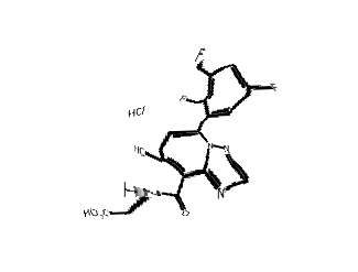 Cl.O=C(O)CNC(=O)c1c(O)cc(-c2cc(F)cc(F)c2F)n2ncnc12